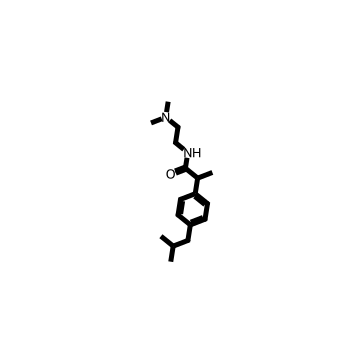 CC(C)Cc1ccc(C(C)C(=O)NCCN(C)C)cc1